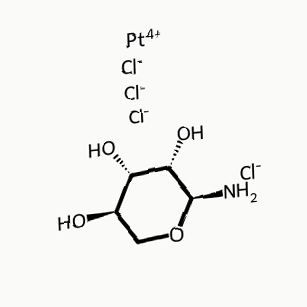 N[C@H]1OC[C@@H](O)[C@H](O)[C@@H]1O.[Cl-].[Cl-].[Cl-].[Cl-].[Pt+4]